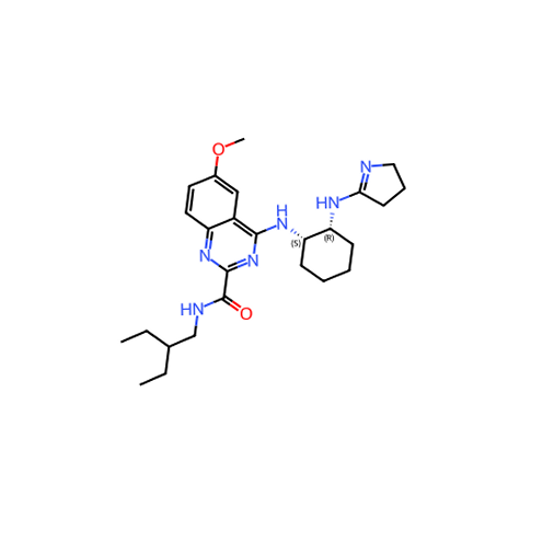 CCC(CC)CNC(=O)c1nc(N[C@H]2CCCC[C@H]2NC2=NCCC2)c2cc(OC)ccc2n1